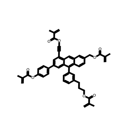 C=C(C)C(=O)OC#Cc1cc(-c2ccc(OC(=O)C(=C)C)cc2)cc2c(-c3cccc(CCCOC(=O)C(=C)C)c3)c3ccc(COC(=O)C(=C)C)cc3cc12